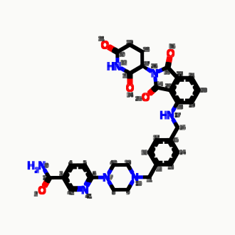 NC(=O)c1ccc(N2CCN(Cc3ccc(CNc4cccc5c4C(=O)N([C@@H]4CCC(=O)NC4=O)C5=O)cc3)CC2)nc1